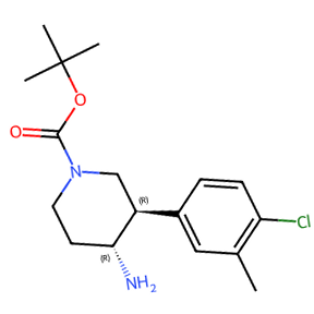 Cc1cc([C@@H]2CN(C(=O)OC(C)(C)C)CC[C@H]2N)ccc1Cl